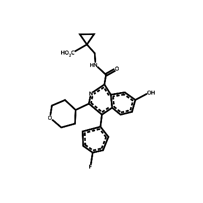 O=C(NCC1(C(=O)O)CC1)c1nc(C2CCOCC2)c(-c2ccc(F)cc2)c2ccc(O)cc12